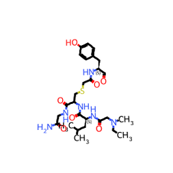 CCN(C)CC(=O)N[C@@H](CC(C)C)C(=O)NC(CSCC(=O)N[C@H](C=O)Cc1ccc(O)cc1)C(=O)NCC(N)=O